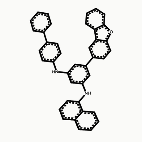 c1ccc(-c2ccc(Nc3cc(Nc4cccc5ccccc45)cc(-c4ccc5oc6ccccc6c5c4)c3)cc2)cc1